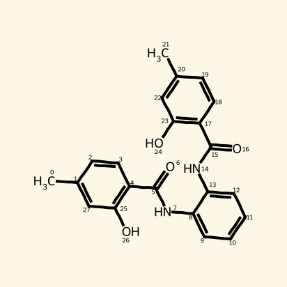 Cc1ccc(C(=O)Nc2ccccc2NC(=O)c2ccc(C)cc2O)c(O)c1